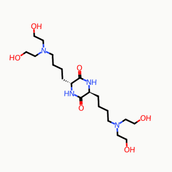 O=C1N[C@H](CCCCN(CCO)CCO)C(=O)N[C@H]1CCCCN(CCO)CCO